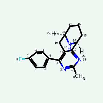 Cc1nc(-c2ccc(F)cc2)c2c(n1)[C@@H]1CCC[C@H](C2)N1